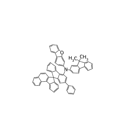 CC1(C)c2ccccc2-c2ccc(N(c3ccc4c(c3)oc3ccccc34)c3cc(-c4ccccc4)cc4c3-c3ccccc3C43c4ccccc4-c4c3ccc3ccccc43)cc21